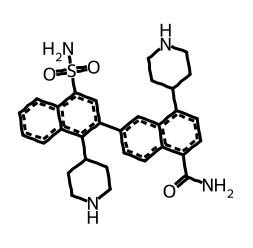 NC(=O)c1ccc(C2CCNCC2)c2cc(-c3cc(S(N)(=O)=O)c4ccccc4c3C3CCNCC3)ccc12